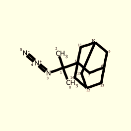 CC(C)(N=[N+]=[N-])C12CC3CC(CC(C3)C1)C2